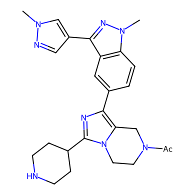 CC(=O)N1CCn2c(C3CCNCC3)nc(-c3ccc4c(c3)c(-c3cnn(C)c3)nn4C)c2C1